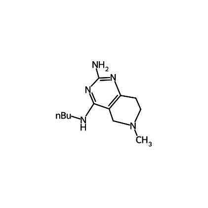 CCCCNc1nc(N)nc2c1CN(C)CC2